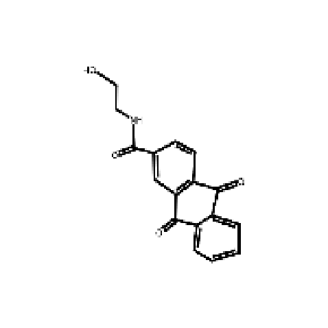 O=C(NCCO)c1ccc2c(c1)C(=O)c1ccccc1C2=O